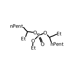 CCCCCC(CC)OP(=O)(OCC)OC(CC)CCCCC